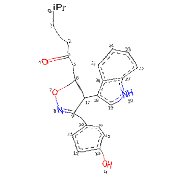 CC(C)CCC(=O)CC1ON=C(c2ccc(O)cc2)C1c1c[nH]c2ccccc12